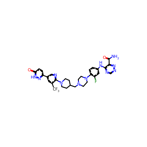 NC(=O)c1nncnc1Nc1ccc(N2CCN(CC3CCN(c4ncc(-c5ccc(=O)[nH]n5)cc4C(F)(F)F)CC3)CC2)c(F)c1